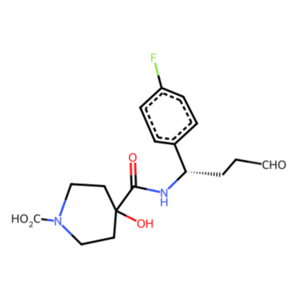 O=CCC[C@H](NC(=O)C1(O)CCN(C(=O)O)CC1)c1ccc(F)cc1